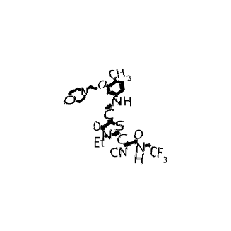 CCn1c(=C=C(C#N)C(=O)NCC(F)(F)F)sc(=C=CNc2ccc(C)c(OCCN3CCOCC3)c2)c1=O